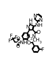 C[C@H](Oc1cc(-c2n[nH]c(Nc3cnccn3)c2C(N)=O)ccc1NS(=O)(=O)CC(F)(F)F)c1cccc(F)c1